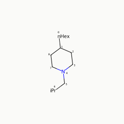 CCCCCCC1CCN(CC(C)C)CC1